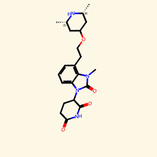 C[C@@H]1CC(OCCc2cccc3c2n(C)c(=O)n3C2CCC(=O)NC2=O)C[C@H](C)N1